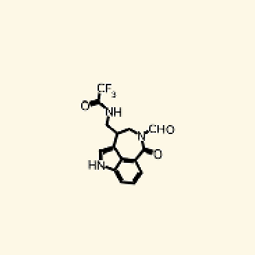 O=CN1CC(CNC(=O)C(F)(F)F)c2c[nH]c3cccc(c23)C1=O